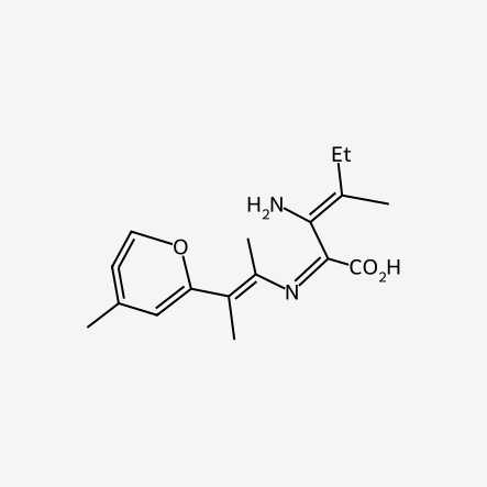 CC/C(C)=C(N)/C(=N\C(C)=C(/C)C1=CC(C)=C=CO1)C(=O)O